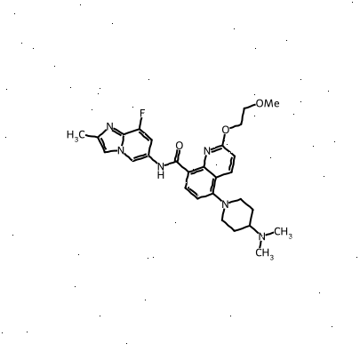 COCCOc1ccc2c(N3CCC(N(C)C)CC3)ccc(C(=O)Nc3cc(F)c4nc(C)cn4c3)c2n1